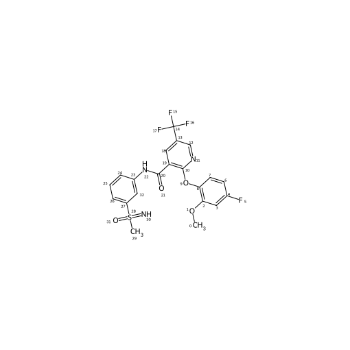 COc1cc(F)ccc1Oc1ncc(C(F)(F)F)cc1C(=O)Nc1cccc(S(C)(=N)=O)c1